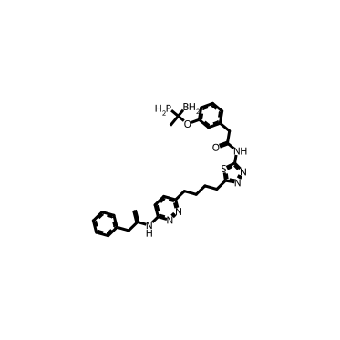 BC(C)(P)Oc1cccc(CC(=O)Nc2nnc(CCCCc3ccc(NC(=C)Cc4ccccc4)nn3)s2)c1